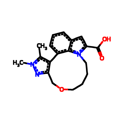 Cc1c2c(nn1C)COCCCCn1c(C(=O)O)cc3cccc-2c31